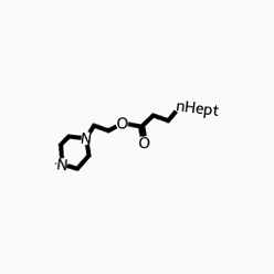 CCCCCCCCCC(=O)OCCN1CC[N]CC1